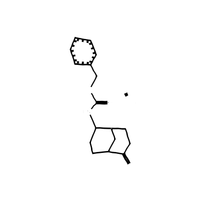 C=C.O=C(NC1CCC2CC1CCC2=O)OCc1ccccc1